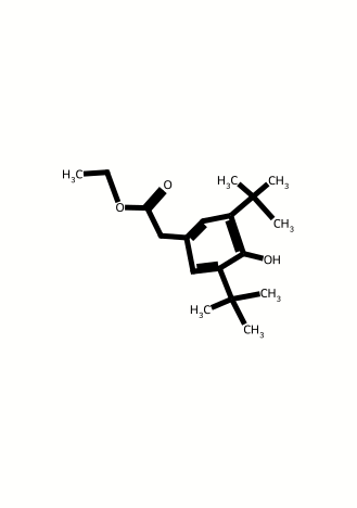 CCOC(=O)Cc1cc(C(C)(C)C)c(O)c(C(C)(C)C)c1